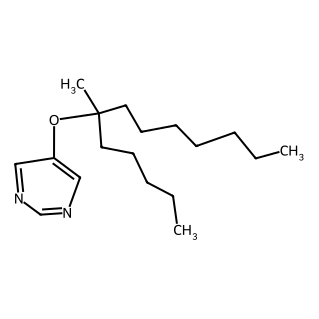 CCCCCCCC(C)(CCCCC)Oc1cncnc1